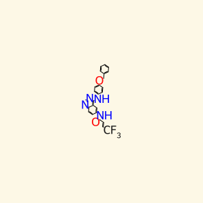 O=C(C=CC(F)(F)F)Nc1ccc2ncnc(Nc3ccc(OCc4ccccc4)cc3)c2c1